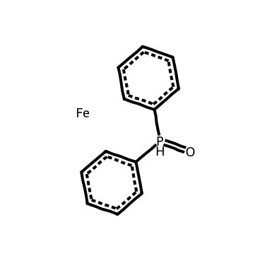 O=[PH](c1ccccc1)c1ccccc1.[Fe]